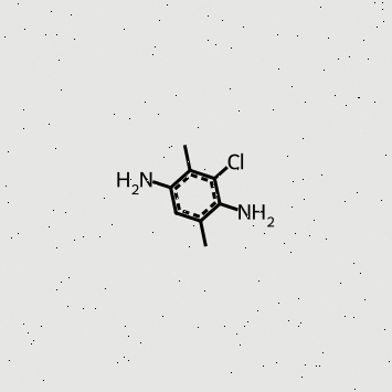 Cc1cc(N)c(C)c(Cl)c1N